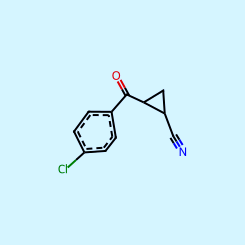 N#CC1CC1C(=O)c1ccc(Cl)cc1